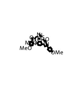 COc1ccc(C(=O)NCc2nnc(SCC(=O)N3N=C(c4ccc(OC)cc4)CC3c3ccc(OC)cc3)n2C)cc1